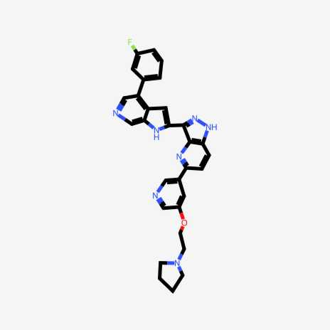 Fc1cccc(-c2cncc3[nH]c(-c4n[nH]c5ccc(-c6cncc(OCCN7CCCC7)c6)nc45)cc23)c1